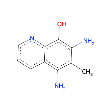 Cc1c(N)c(O)c2ncccc2c1N